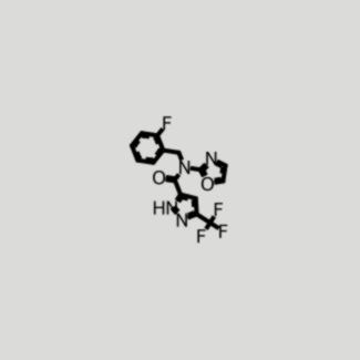 O=C(c1cc(C(F)(F)F)n[nH]1)N(Cc1ccccc1F)c1ncco1